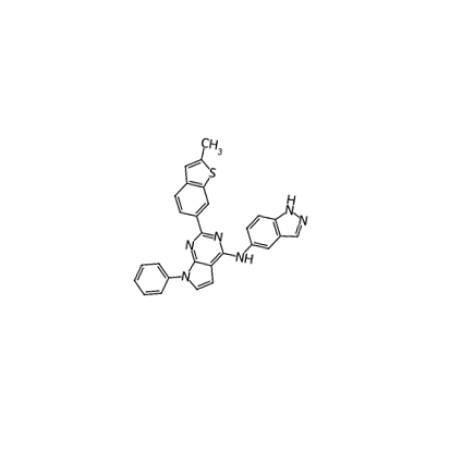 Cc1cc2ccc(-c3nc(Nc4ccc5[nH]ncc5c4)c4ccn(-c5ccccc5)c4n3)cc2s1